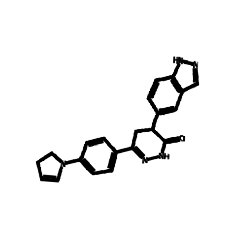 O=C1NN=C(c2ccc(N3C=CCC3)cc2)CC1c1ccc2[nH]ncc2c1